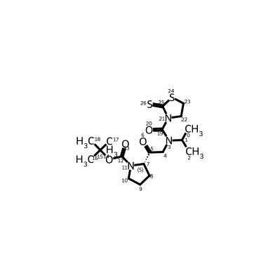 CC(C)N(CC(=O)[C@@H]1CCCN1C(=O)OC(C)(C)C)C(=O)N1CCSC1=S